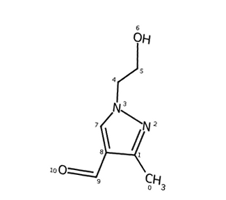 Cc1nn(CCO)cc1C=O